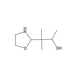 CC(O)C(C)(C)C1NCCO1